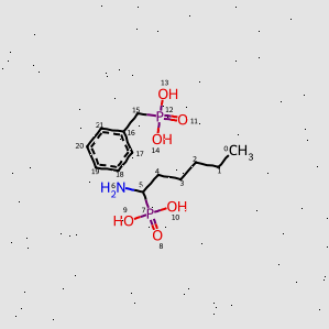 CCCCCC(N)P(=O)(O)O.O=P(O)(O)Cc1ccccc1